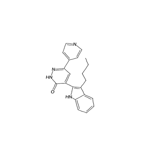 CCCCc1c(-c2cc(-c3ccncc3)n[nH]c2=O)[nH]c2ccccc12